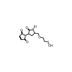 CCN1C(=O)C(N2C(=O)C=CC2=O)CC1COCCSO